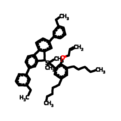 C=CCOc1c(CCCCC)cc(CCCCC)cc1[Si](C)(C)C1c2cc(-c3cccc(CC)c3)ccc2-c2ccc(-c3cccc(CC)c3)cc21